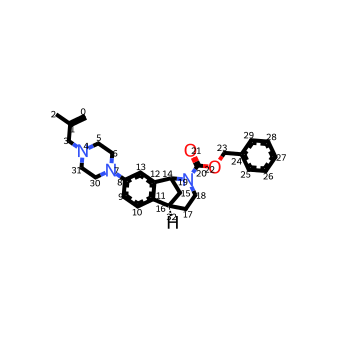 C=C(C)CN1CCN(c2ccc3c(c2)C2C[C@H]3CCN2C(=O)OCc2ccccc2)CC1